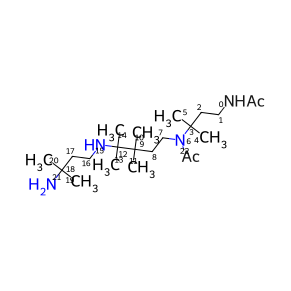 CC(=O)NCCC(C)(C)N(CCC(C)(C)C(C)(C)NCCC(C)(C)N)C(C)=O